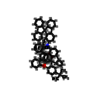 CC(C)(C)c1ccc2c(c1)C1(c3cc(C(C)(C)C)ccc3S2)c2ccccc2-c2ccc(N(c3ccc4c(c3)C3(c5ccccc5-c5ccccc53)c3ccccc3-4)c3ccccc3-c3cccc4oc5ccccc5c34)cc21